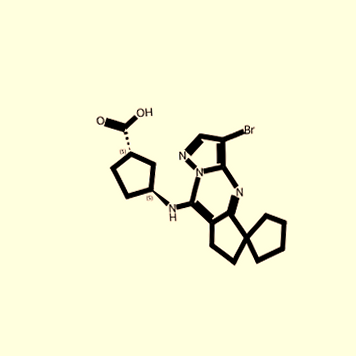 O=C(O)[C@H]1CC[C@H](Nc2c3c(nc4c(Br)cnn24)C2(CCCC2)CC3)C1